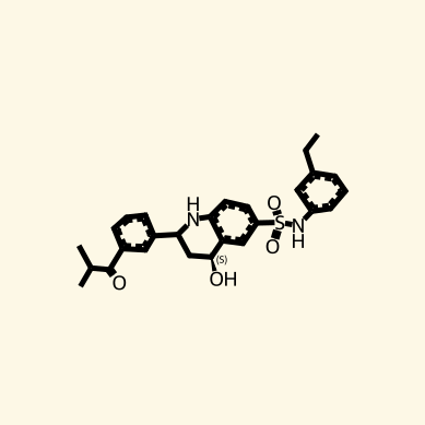 CCc1cccc(NS(=O)(=O)c2ccc3c(c2)[C@@H](O)CC(c2cccc(C(=O)C(C)C)c2)N3)c1